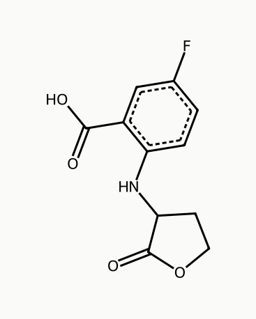 O=C(O)c1cc(F)ccc1NC1CCOC1=O